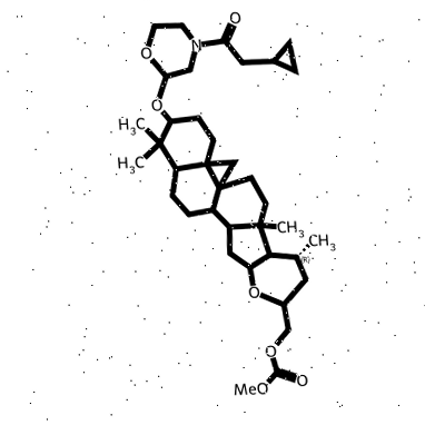 COC(=O)OCC1C[C@@H](C)C2C(CC3C4CCC5C(C)(C)C(OC6CN(C(=O)CC7CC7)CCO6)CCC56CC46CCC32C)O1